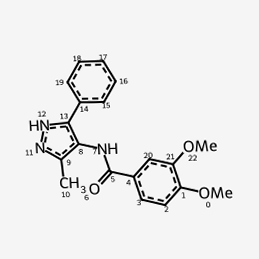 COc1ccc(C(=O)Nc2c(C)n[nH]c2-c2ccccc2)cc1OC